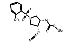 CC(C)(C)OC(=O)N[C@H]1CN(S(=O)(=O)c2ccccc2[N+](=O)[O-])C[C@H]1N=[N+]=[N-]